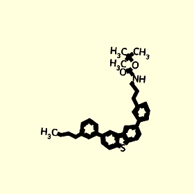 CCCCc1cccc(-c2ccc3sc4ccc(-c5cccc(CCCNC(=O)OC(C)(C)C)c5)cc4c3c2)c1